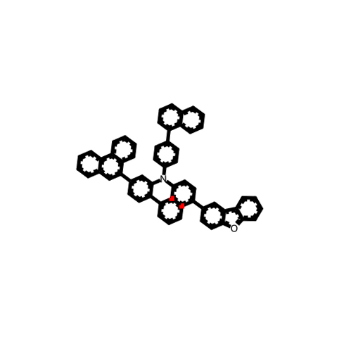 c1ccc(-c2ccc(-c3cc4ccccc4c4ccccc34)cc2N(c2ccc(-c3ccc4oc5ccccc5c4c3)cc2)c2ccc(-c3cccc4ccccc34)cc2)cc1